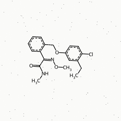 CCc1cc(OCc2ccccc2C(=NOC)C(=O)NC)ccc1Cl